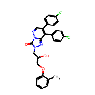 Cc1ccccc1OCC(O)Cn1nc2c(-c3ccc(Cl)cc3)c(-c3ccc(Cl)cc3)cnn2c1=O